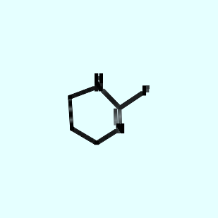 FC1=NCCCN1